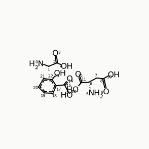 NCC(=O)O.N[C@@H](CC(=O)O)C(=O)O.O=C(O)c1ccccc1O